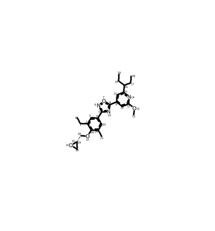 CCc1cc(-c2noc(-c3cc(OC)nc(C(CC)CC)c3)n2)cc(C)c1OC[C@@H]1CO1